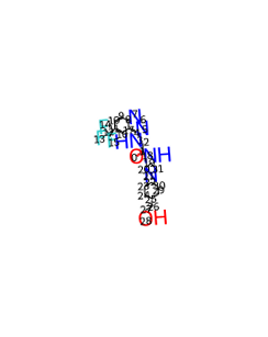 O=C(CNc1ncnc2ccc(C(F)(F)F)cc12)NC1CN([C@H]2CC[C@H](CCO)CC2)C1